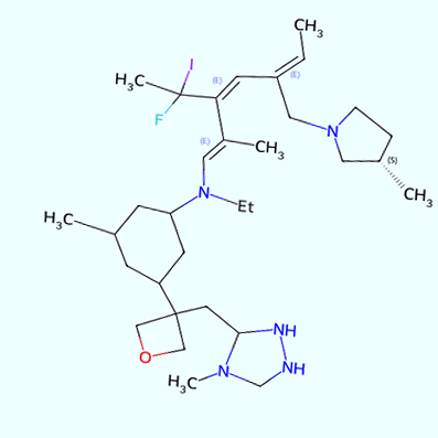 C\C=C(/C=C(\C(C)=C\N(CC)C1CC(C)CC(C2(CC3NNCN3C)COC2)C1)C(C)(F)I)CN1CC[C@H](C)C1